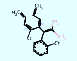 BC(B)=C(C(=C/C=C)/C(=C\C=C)CC)c1ccccc1CC